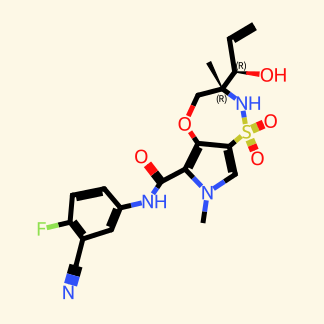 C=C[C@@H](O)[C@@]1(C)COc2c(cn(C)c2C(=O)Nc2ccc(F)c(C#N)c2)S(=O)(=O)N1